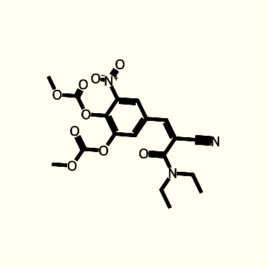 CCN(CC)C(=O)C(C#N)=Cc1cc(OC(=O)OC)c(OC(=O)OC)c([N+](=O)[O-])c1